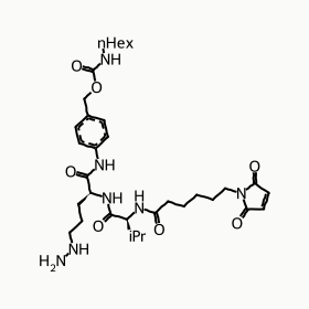 CCCCCCNC(=O)OCc1ccc(NC(=O)[C@H](CCCNN)NC(=O)[C@@H](NC(=O)CCCCCN2C(=O)C=CC2=O)C(C)C)cc1